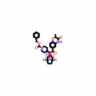 CC1Oc2ccc(C(=O)NC3C[C@H]4CC[C@@H](C3)N4S(=O)(=O)CC3CCN(C(=O)OCc4ccccc4)CC3)cc2NC1=O